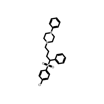 O=S(=O)(c1ccc(Cl)cc1)C(CCCN1CCN(c2ccccc2)CC1)c1ccccc1